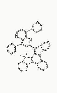 CC1(C)c2ccccc2-c2c1c1c(c3ccccc23)c2ccccc2n1-c1cc(-c2ccccc2)c2nccc(-c3ccccc3)c2n1